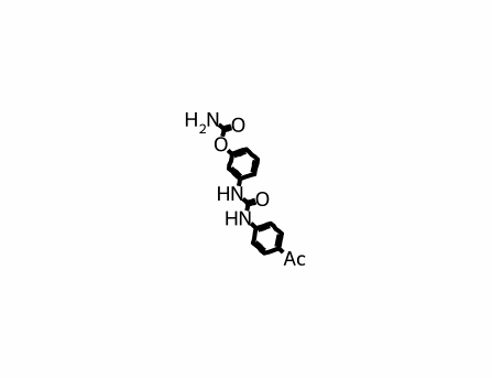 CC(=O)c1ccc(NC(=O)Nc2cccc(OC(N)=O)c2)cc1